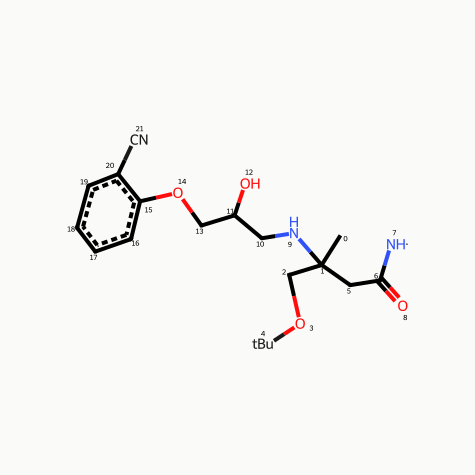 CC(COC(C)(C)C)(CC([NH])=O)NCC(O)COc1ccccc1C#N